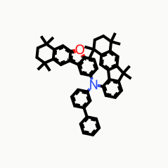 CC1(C)CCC(C)(C)c2cc3c(cc21)-c1c(N(c2cccc(-c4ccccc4)c2)c2ccc4oc5cc6c(cc5c4c2)C(C)(C)CCC6(C)C)cccc1C3(C)C